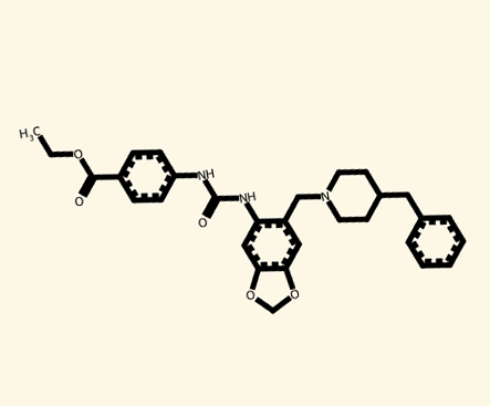 CCOC(=O)c1ccc(NC(=O)Nc2cc3c(cc2CN2CCC(Cc4ccccc4)CC2)OCO3)cc1